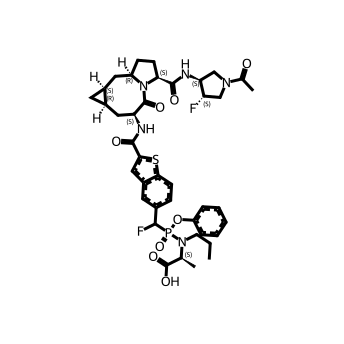 CCCN([C@@H](C)C(=O)O)P(=O)(Oc1ccccc1)C(F)c1ccc2sc(C(=O)N[C@H]3C[C@H]4C[C@H]4C[C@H]4CC[C@@H](C(=O)N[C@H]5CN(C(C)=O)C[C@@H]5F)N4C3=O)cc2c1